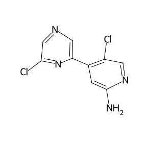 Nc1cc(-c2cncc(Cl)n2)c(Cl)cn1